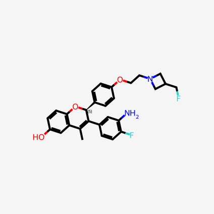 CC1=C(c2ccc(F)c(N)c2)[C@H](c2ccc(OCCN3CC(CF)C3)cc2)Oc2ccc(O)cc21